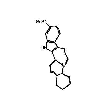 COc1ccc2c3c([nH]c2c1)C1CC=C2CCCCC2N1CC3